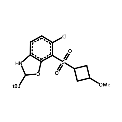 COC1CC(S(=O)(=O)c2c(Cl)ccc3c2OC(C(C)(C)C)N3)C1